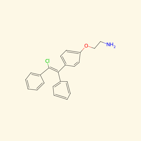 NCCOc1ccc(/C(=C(\Cl)c2ccccc2)c2ccccc2)cc1